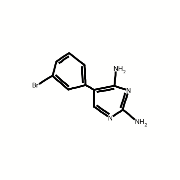 Nc1ncc(-c2cccc(Br)c2)c(N)n1